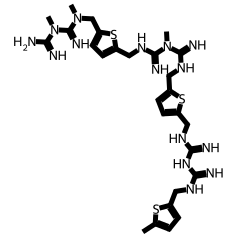 Cc1ccc(CNC(=N)NC(=N)NCc2ccc(CNC(=N)N(C)C(=N)NCc3ccc(CN(C)C(=N)N(C)C(=N)N)s3)s2)s1